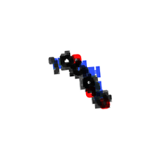 CN(C)[C@@H]1CCc2oc3nc(Nc4ccc5oc(N6CCOCC6)nc5c4)ccc3c2C1